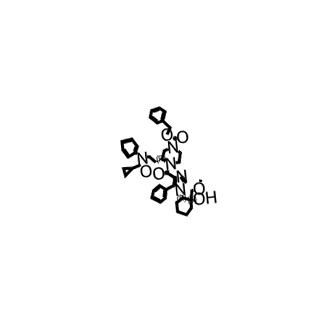 COC[C@]1(O)CCCC[C@H]1n1cnc(C(=O)N2CCN(C(=O)OCc3ccccc3)C[C@H]2CCN(C(=O)C2CC2)c2ccccc2)c1-c1ccccc1